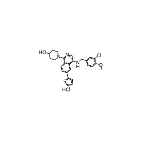 COc1ccc(CNc2nnc(N3CCC(O)CC3)c3ccc(-c4cccs4)cc23)cc1Cl.Cl